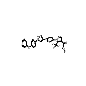 CCOC(=O)c1cnn(-c2ccc(-c3cn(-c4ccc(Oc5ccccc5)cc4)nn3)cc2)c1C(F)(F)F